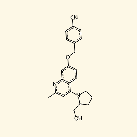 Cc1cc(N2CCCC2CO)c2ccc(OCc3ccc(C#N)cc3)cc2n1